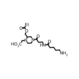 CCC(=O)OCC1CN(C(=O)CCNC(=O)CCCCN)CCN1CC(=O)O